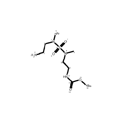 CCCN(CCN)S(=O)(=O)N(C)CCNC(=O)OC(C)(C)C